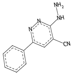 N#Cc1cc(-c2ccccc2)nnc1NN